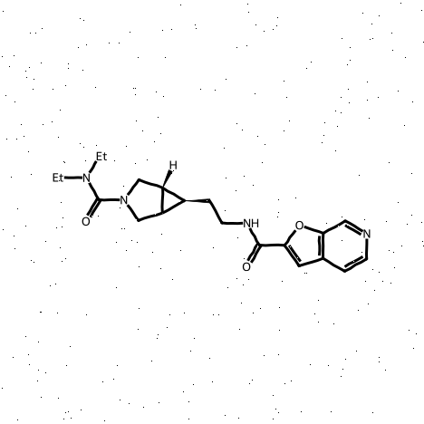 CCN(CC)C(=O)N1CC2[C@H](CCNC(=O)c3cc4ccncc4o3)[C@H]2C1